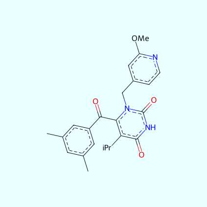 COc1cc(Cn2c(C(=O)c3cc(C)cc(C)c3)c(C(C)C)c(=O)[nH]c2=O)ccn1